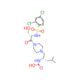 CC(C)C[C@@H](CN1CCN(C(=O)[C@H](CO)NS(=O)(=O)c2ccc(Cl)cc2Cl)CC1)NC(=O)O